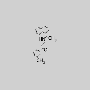 Cc1cccc(C(=O)CCN[C@H](C)c2cccc3ccccc23)c1